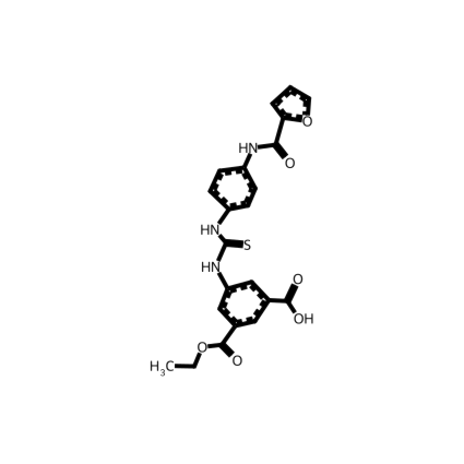 CCOC(=O)c1cc(NC(=S)Nc2ccc(NC(=O)c3ccco3)cc2)cc(C(=O)O)c1